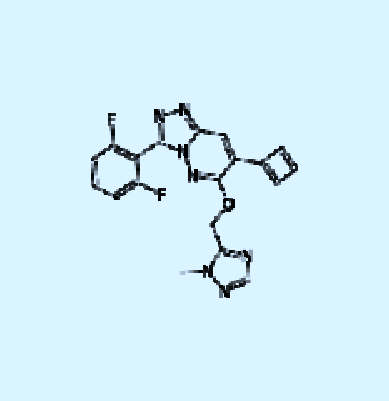 Cn1ncnc1COc1nn2c(-c3c(F)cccc3F)nnc2cc1C1=CC=C1